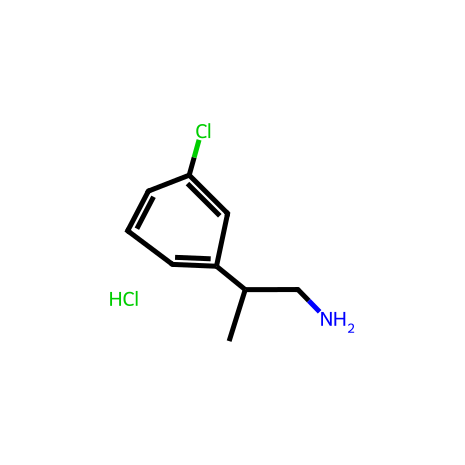 CC(CN)c1cccc(Cl)c1.Cl